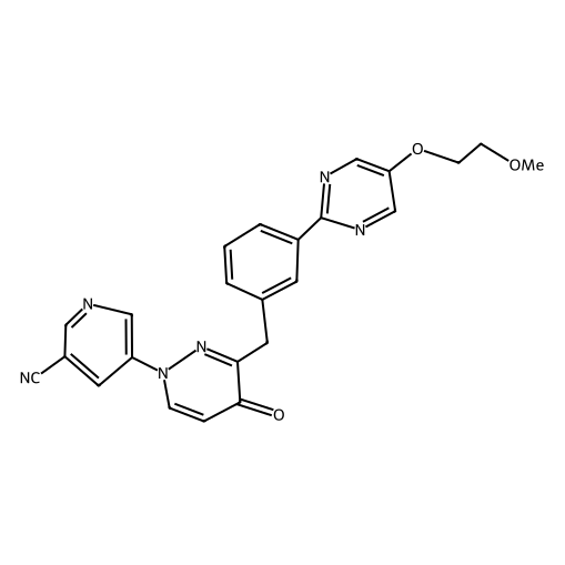 COCCOc1cnc(-c2cccc(Cc3nn(-c4cncc(C#N)c4)ccc3=O)c2)nc1